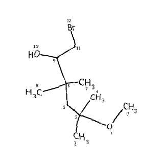 COC(C)(C)CC(C)(C)C(O)CBr